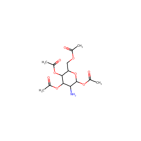 CC(=O)OCC1OC(OC(C)=O)C(N)C(OC(C)=O)C1OC(C)=O